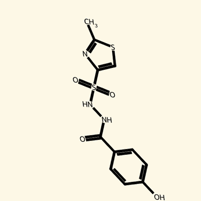 Cc1nc(S(=O)(=O)NNC(=O)c2ccc(O)cc2)cs1